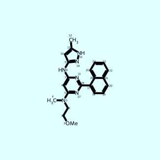 COCCN(C)c1cc(Nc2cc(C)[nH]n2)nc(-c2cccc3ccccc23)n1